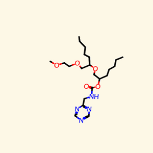 CCCCCC(COCCOC)OCC(CCCCC)OC(=O)NCc1ncncn1